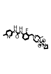 Cc1ccc(NC(=O)Nc2cccc(CN3CCN(S(=O)(=O)N4CCC4)[C@H](C)C3)c2F)cn1